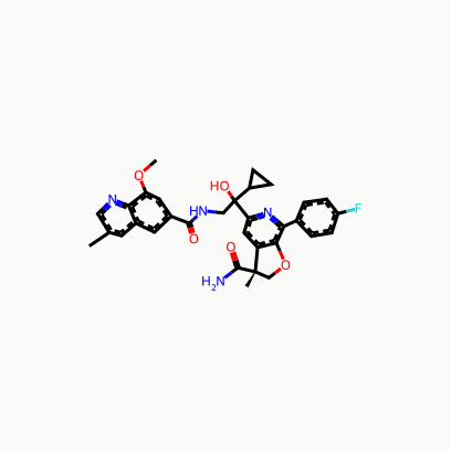 COc1cc(C(=O)NCC(O)(c2cc3c(c(-c4ccc(F)cc4)n2)OC[C@]3(C)C(N)=O)C2CC2)cc2cc(C)cnc12